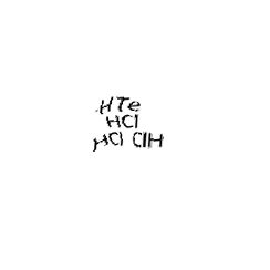 Cl.Cl.Cl.[TeH]